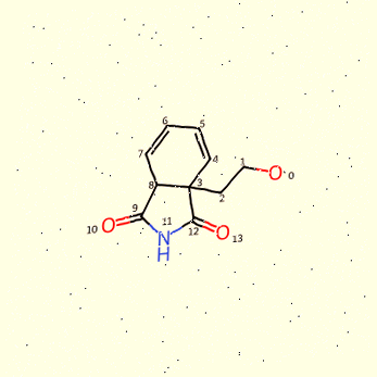 [O]CCC12C=CC=CC1C(=O)NC2=O